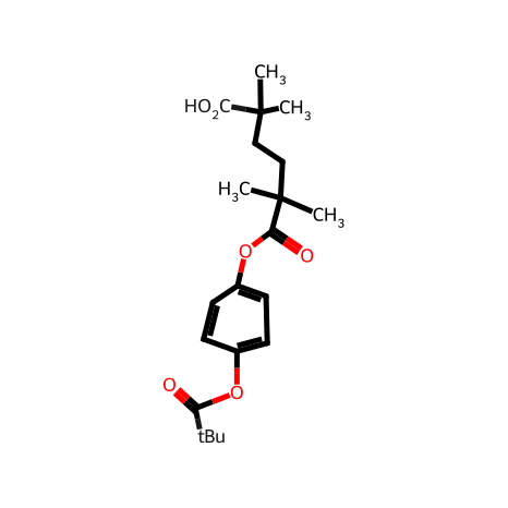 CC(C)(C)C(=O)Oc1ccc(OC(=O)C(C)(C)CCC(C)(C)C(=O)O)cc1